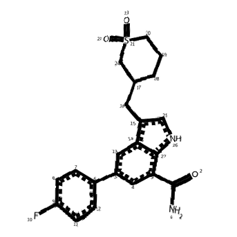 NC(=O)c1cc(-c2ccc(F)cc2)cc2c(CC3CCCS(=O)(=O)C3)c[nH]c12